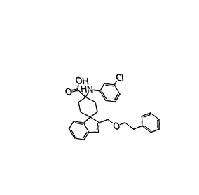 O=C(O)C1(Nc2cccc(Cl)c2)CCC2(CC1)C(COCCc1ccccc1)=Cc1ccccc12